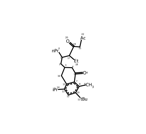 CCCC(CC1CC(=O)c2c(C)c(C(C)(C)C)cc(C(C)C)c2C1)C(CC)C(=O)CC(C)=O